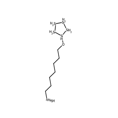 CCCCCCCCCCCCCCO[SiH]1[SiH2][SiH2][SiH2][SiH2]1